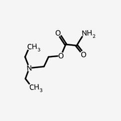 CCN(CC)CCOC(=O)C(N)=O